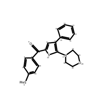 CSc1ccc(C(=O)c2cc(-c3ccccc3)c(N3CCOCC3)s2)cc1